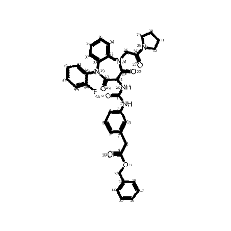 O=C(Nc1cccc(CC(=O)OCc2ccccc2)c1)NC1C(=O)N(CC(=O)N2CCCC2)c2ccccc2N(c2ccccc2F)C1=O